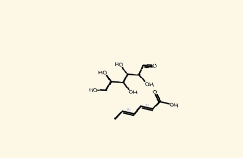 C/C=C/C=C/C(=O)O.O=CC(O)C(O)C(O)C(O)CO